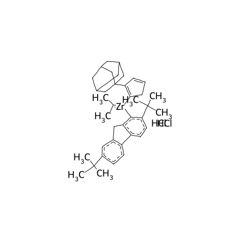 C[C](C)=[Zr]([C]1=C(C23CC4CC(CC(C4)C2)C3)C=CC1)[c]1c(C(C)(C)C)ccc2c1Cc1cc(C(C)(C)C)ccc1-2.Cl.Cl